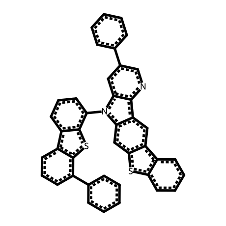 c1ccc(-c2cnc3c4cc5c(cc4n(-c4cccc6c4sc4c(-c7ccccc7)cccc46)c3c2)sc2ccccc25)cc1